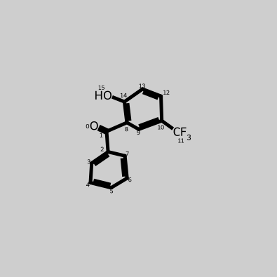 O=C(c1ccccc1)c1cc(C(F)(F)F)ccc1O